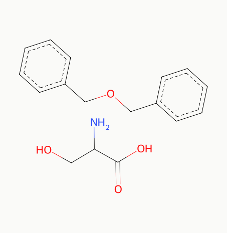 NC(CO)C(=O)O.c1ccc(COCc2ccccc2)cc1